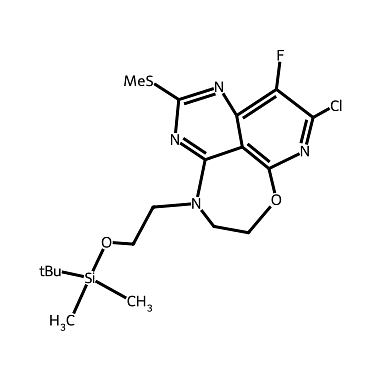 CSc1nc2c3c(nc(Cl)c(F)c3n1)OCCN2CCO[Si](C)(C)C(C)(C)C